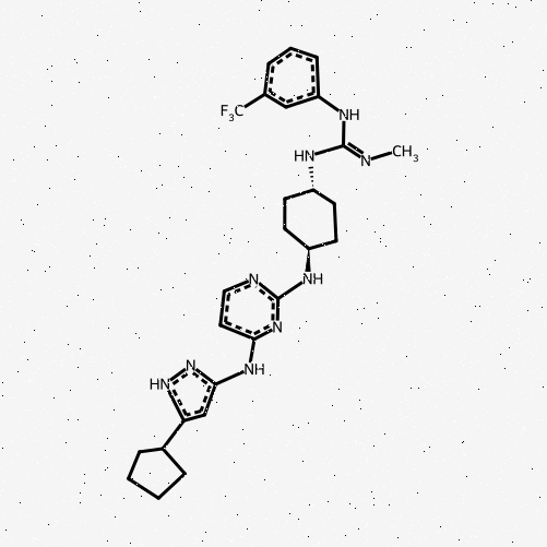 C/N=C(\Nc1cccc(C(F)(F)F)c1)N[C@H]1CC[C@H](Nc2nccc(Nc3cc(C4CCCC4)[nH]n3)n2)CC1